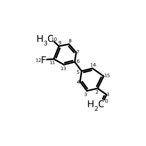 C=Cc1ccc(-c2ccc(C)c(F)c2)cc1